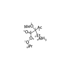 CCC(OC)(C(C)=O)C(=O)OOC(C)C.[AlH3]